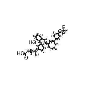 O=C(O)CCNC(=O)c1ccc(N(Cc2cccc(O)c2)C2=NC(c3ccc(OC(F)(F)F)cc3)=CC=CC2)cc1